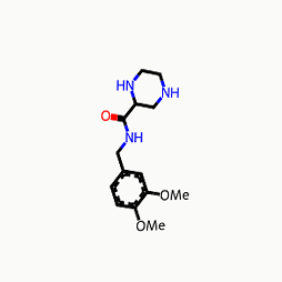 COc1ccc(CNC(=O)C2CNCCN2)cc1OC